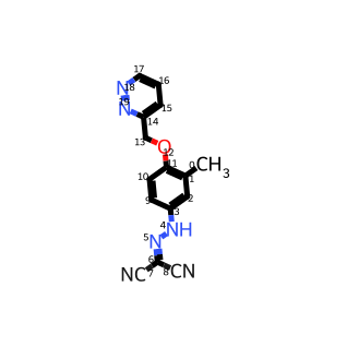 Cc1cc(NN=C(C#N)C#N)ccc1OCc1cccnn1